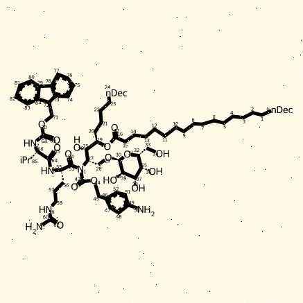 CCCCCCCCCCCCCCCCCCCCCCCCCC(=O)O[C@H](CCCCCCCCCCCCCC)[C@@H](O)[C@H](CO[C@H]1O[C@H](CO)[C@H](O)[C@H](O)[C@H]1O)N(C(=O)OCc1ccc(N)cc1)C(=O)[C@H](CCCNC(N)=O)NC(=O)[C@@H](NC(=O)OCC1c2ccccc2-c2ccccc21)C(C)C